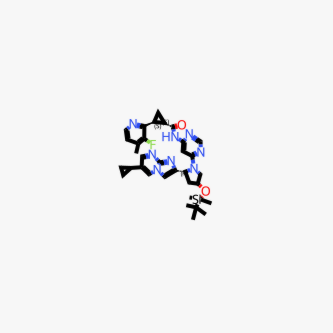 Cc1ccnc([C@H]2C[C@@H]2C(=O)Nc2cc(N3CC(O[Si](C)(C)C(C)(C)C)C[C@@H]3c3cn4cc(C5CC5)cnc4n3)ncn2)c1F